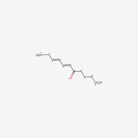 CCCCCCCCCC=CC=CC(=O)CCCC(=O)O